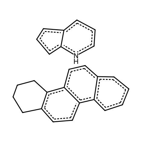 c1c[nH]c2cccc-2c1.c1ccc2c(c1)ccc1c3c(ccc12)CCCC3